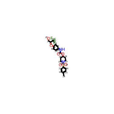 COCC(Oc1ccc(NC(=O)OC2CCN(S(=O)(=O)c3ccc(C)cc3)CC2)cc1)C(F)(F)F